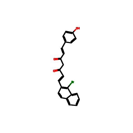 O=C(C=Cc1ccc(O)cc1)CC(=O)C=Cc1ccc2ccccc2c1Br